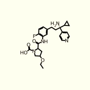 CCOC1CC(C(=O)Nc2cc(CC[C@](N)(c3ccncc3)C3CC3)ccc2F)N(C(=O)O)C1